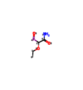 CCOC(P=O)C(N)=O